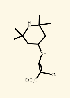 CCOC(=O)C(C#N)=CNC1CC(C)(C)NC(C)(C)C1